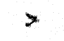 CC(C)[C@H](NC(=O)[C@@H]1CCCN1C(=O)[C@@H](NC(=O)CCCCCNC(=O)c1ccccn1)C(C)C)C(=O)c1nnc(-c2ccc(F)cc2)o1